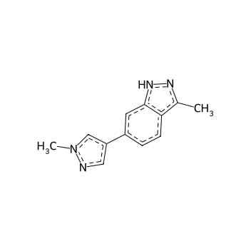 Cc1n[nH]c2cc(-c3cnn(C)c3)ccc12